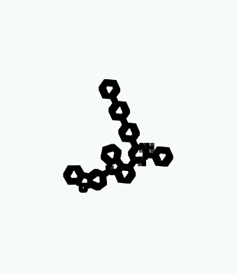 C1=C(c2ccc(-c3ccc(-c4ccccc4)cc3)cc2)NC(c2ccccc2)N=C1c1cccc2c1c1ccccc1n2-c1ccc2oc3ccccc3c2c1